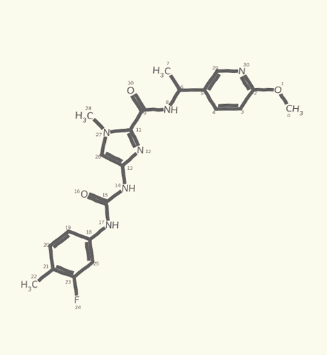 COc1ccc(C(C)NC(=O)c2nc(NC(=O)Nc3ccc(C)c(F)c3)cn2C)cn1